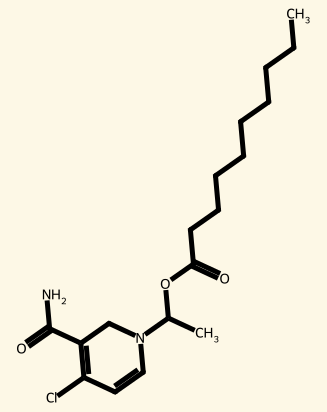 CCCCCCCCCC(=O)OC(C)N1C=CC(Cl)=C(C(N)=O)C1